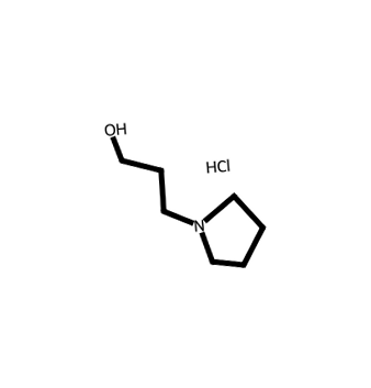 Cl.OCCCN1CCCC1